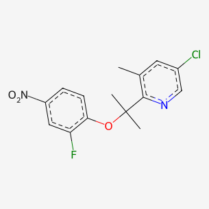 Cc1cc(Cl)cnc1C(C)(C)Oc1ccc([N+](=O)[O-])cc1F